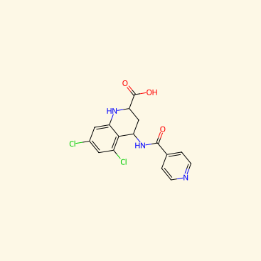 O=C(NC1CC(C(=O)O)Nc2cc(Cl)cc(Cl)c21)c1ccncc1